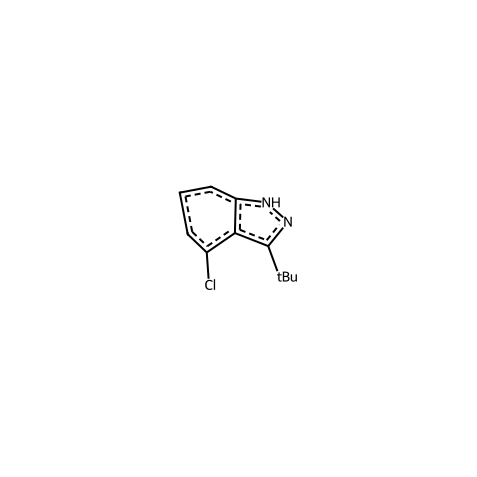 CC(C)(C)c1n[nH]c2cccc(Cl)c12